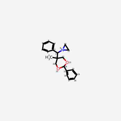 CC1(C(c2ccccc2)N2CC2)COC(c2ccccc2)OC1